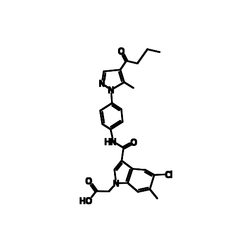 CCCC(=O)c1cnn(-c2ccc(NC(=O)c3cn(CC(=O)O)c4cc(C)c(Cl)cc34)cc2)c1C